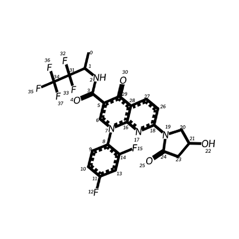 CC(NC(=O)c1cn(-c2ccc(F)cc2F)c2nc(N3CC(O)CC3=O)ccc2c1=O)C(F)(F)C(F)(F)F